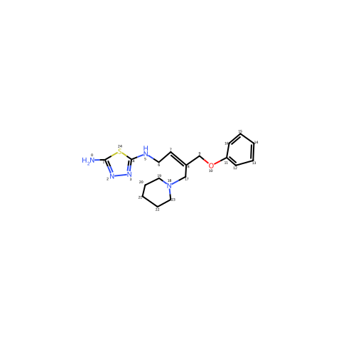 Nc1nnc(NCC=C(COc2ccccc2)CN2CCCCC2)s1